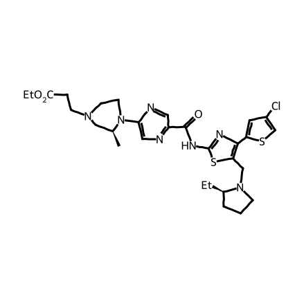 CCOC(=O)CCN1CCN(c2cnc(C(=O)Nc3nc(-c4cc(Cl)cs4)c(CN4CCC[C@H]4CC)s3)cn2)[C@@H](C)C1